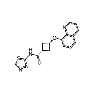 O=C(Nc1nncs1)[C@H]1C[C@H](Oc2cccc3cccnc23)C1